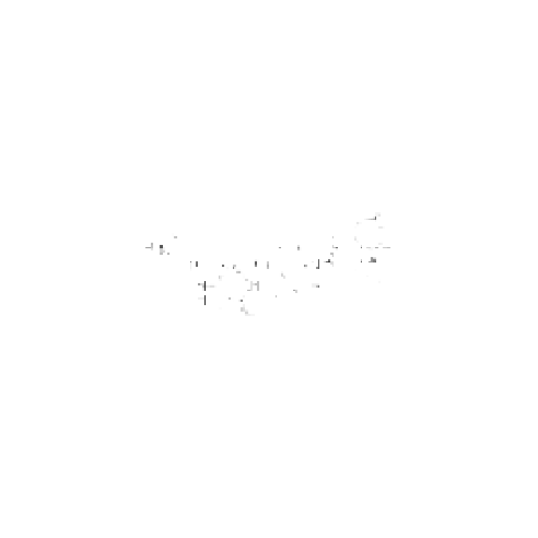 CC(CC(=O)N1CCC(O)(Cn2cnc(NCCN(C)C)cc2=O)CC1)c1ccccc1